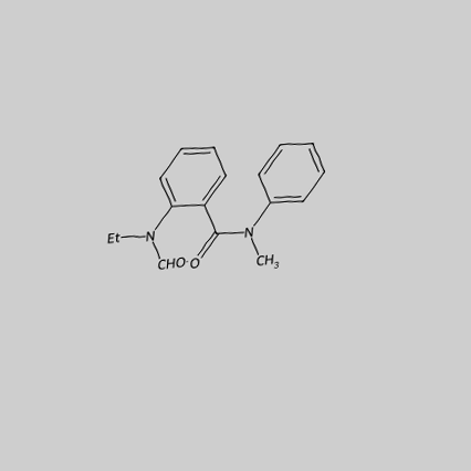 CCN([C]=O)c1ccccc1C(=O)N(C)c1ccccc1